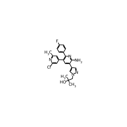 Cc1cc(-c2cc(-c3cnn(CC(C)(C)O)c3)c(N)nc2-c2ccc(F)cc2)cc(Cl)n1